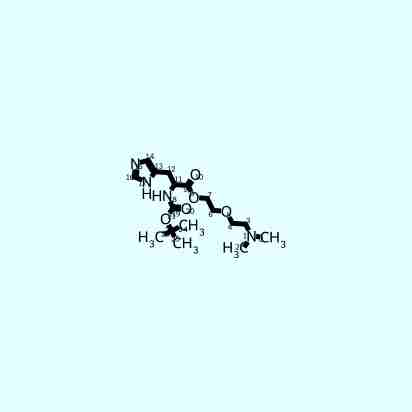 CN(C)CCOCCOC(=O)C(Cc1cnc[nH]1)NC(=O)OC(C)(C)C